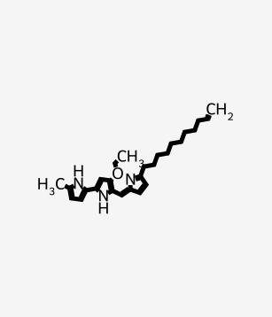 C=CCCCCCCCCCC1=NC(=Cc2[nH]c(-c3ccc(C)[nH]3)cc2OCC)C=C1